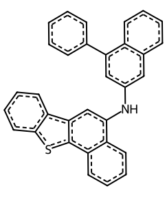 c1ccc(-c2cc(Nc3cc4c5ccccc5sc4c4ccccc34)cc3ccccc23)cc1